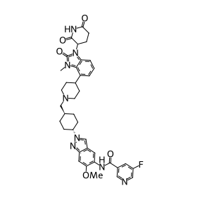 COc1cc2nn([C@H]3CC[C@H](CN4CCC(c5cccc6c5n(C)c(=O)n6C5CCC(=O)NC5=O)CC4)CC3)cc2cc1NC(=O)c1cncc(F)c1